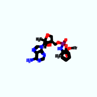 CC(C)OC(=O)[C@H](C)NP(=O)(OC[C@]12CO[C@](C)([C@@H]1O)[C@H](n1cnc3c(N)ncnc31)O2)Oc1ccccc1